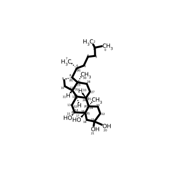 CC(C)CCC[C@@H](C)[C@H]1CC[C@H]2[C@@H]3C[C@@H](O)[C@@]4(O)CC(O)(O)CC[C@]4(C)[C@H]3CC[C@]12C